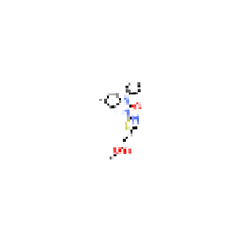 CCOC(=O)CCc1cnc(NC(=O)N(C2CCCCC2)[C@H]2CC[C@H](C)CC2)s1